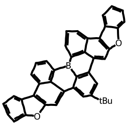 CC(C)(C)c1cc2c3c(c1)-c1cc4oc5ccccc5c4c4cccc(c14)B3c1cccc3c1c-2cc1oc2ccccc2c13